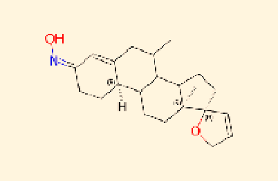 CC1CC2=CC(=NO)CC[C@@H]2C2CC[C@@]3(C)C(CC[C@@]34C=CCO4)C12